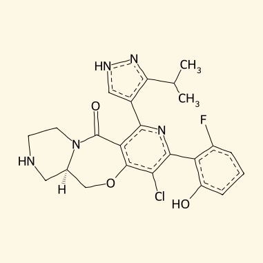 CC(C)c1n[nH]cc1-c1nc(-c2c(O)cccc2F)c(Cl)c2c1C(=O)N1CCNC[C@@H]1CO2